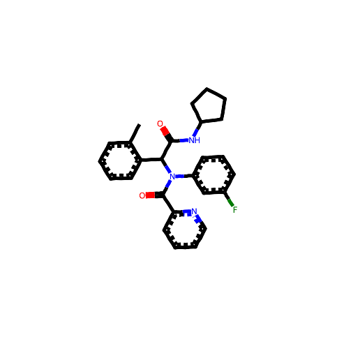 Cc1ccccc1C(C(=O)NC1CCCC1)N(C(=O)c1ccccn1)c1cccc(F)c1